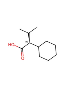 CC(C)[C@H](C(=O)O)C1CCCCC1